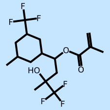 C=C(C)C(=O)OC(CC(C)(O)C(F)(F)F)C1CC(C)CC(C(F)(F)F)C1